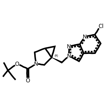 CC(C)(C)OC(=O)N1CC2C[C@]2(Cn2cc3ccc(Cl)nc3n2)C1